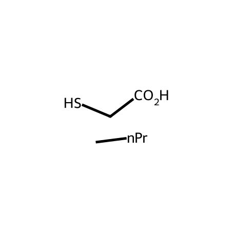 CCCC.O=C(O)CS